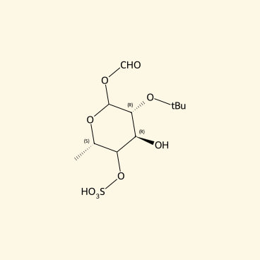 C[C@@H]1OC(OC=O)[C@H](OC(C)(C)C)[C@@H](O)C1OS(=O)(=O)O